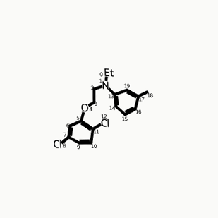 CCN(CCOc1cc(Cl)ccc1Cl)c1cccc(C)c1